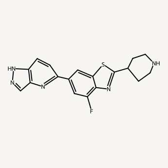 Fc1cc(-c2ccc3[nH]ncc3n2)cc2sc(C3CCNCC3)nc12